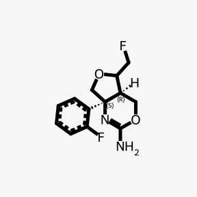 NC1=N[C@@]2(c3ccccc3F)COC(CF)[C@H]2CO1